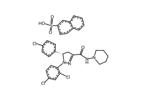 O=C(NN1CCCCC1)C1=NN(c2ccc(Cl)cc2Cl)[C@H](c2ccc(Cl)cc2)C1.O=S(=O)(O)c1ccc2ccccc2c1